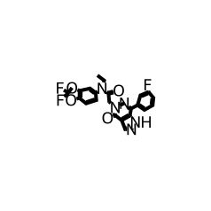 CCN(C(=O)Cn1nc(-c2cccc(F)c2)c2[nH]ncc2c1=O)c1ccc2c(c1)OC(F)(F)O2